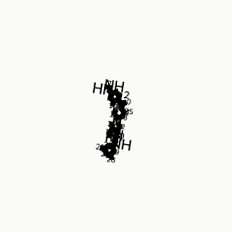 C=C(c1ccc(NN)cc1C)N1CC[C@@H](N2Cc3cnc(Nc4cc(C)cc(C)c4)nc3C2)C[C@H]1C